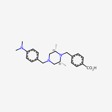 C[C@@H]1CN(Cc2ccc(N(C)C)cc2)C[C@H](C)N1Cc1ccc(C(=O)O)cc1